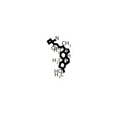 CC[C@]1(O)CC[C@@]2(C)C(=CC[C@H]3[C@@H]4CC[C@H]([C@H](C)CC[C@@H](O)C5(C#N)CCC5)[C@@]4(C)CC[C@@H]32)C1